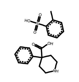 Cc1ccccc1S(=O)(=O)O.O=C(O)C1(c2ccccc2)CCNCC1